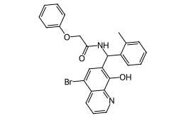 Cc1ccccc1C(NC(=O)COc1ccccc1)c1cc(Br)c2cccnc2c1O